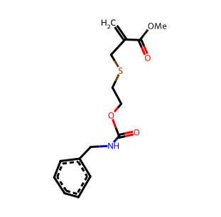 C=C(CSCCOC(=O)NCc1ccccc1)C(=O)OC